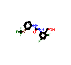 O=C(Nc1cccc(SC(F)(F)F)c1)Nc1cc(F)cc(F)c1CO